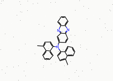 Cc1ccc(N(c2ccc3nc4ccccc4nc3c2)c2ccc(C)c3ccccc23)c2ccccc12